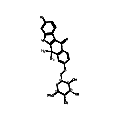 CO[C@H]1O[C@H](COc2ccc3c(c2)C(C)(C)c2[nH]c4cc(Br)ccc4c2C3=O)[C@@H](O)[C@H](O)C1O